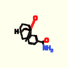 NC(=O)c1ccc2c(c1)[C@]13CCC[C@H](C2)C1CCC(=O)C3